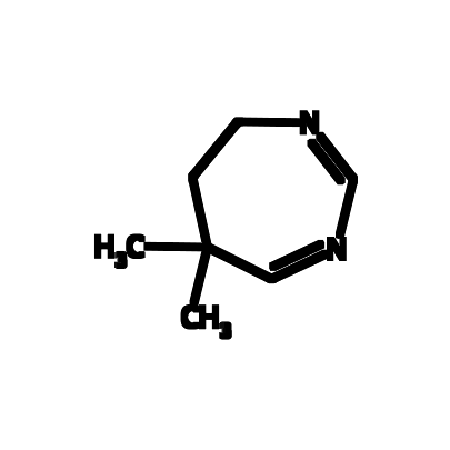 CC1(C)C=NC=NCC1